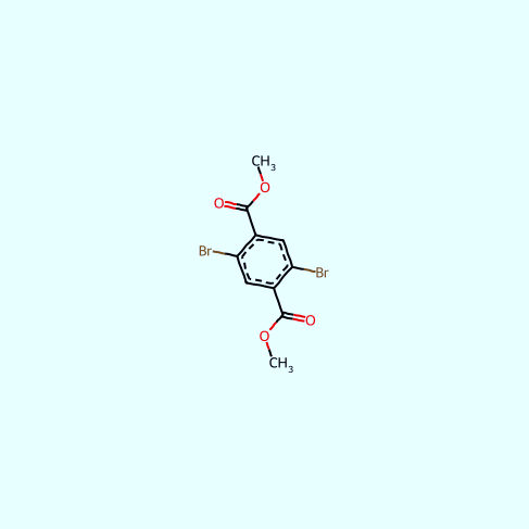 COC(=O)c1cc(Br)c(C(=O)OC)cc1Br